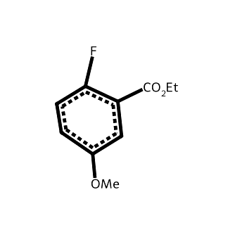 CCOC(=O)c1cc(OC)ccc1F